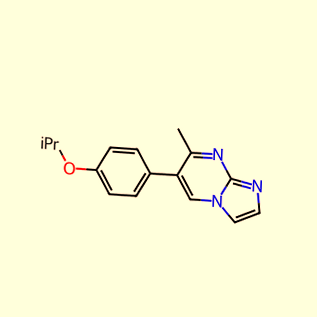 Cc1nc2nccn2cc1-c1ccc(OC(C)C)cc1